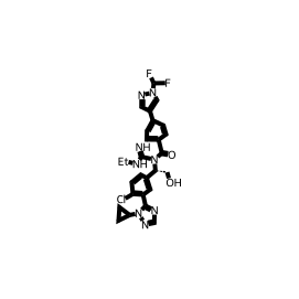 CCNC(=N)N(C(=O)c1ccc(-c2cnn(C(F)F)c2)cc1)[C@H](CO)c1ccc(Cl)c(-c2ncnn2C2CC2)c1